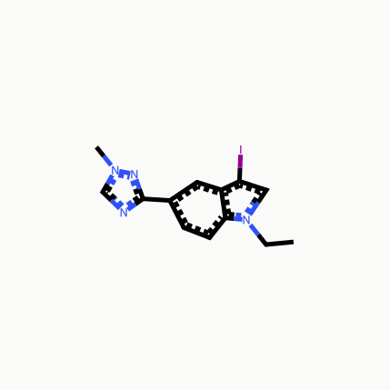 CCn1cc(I)c2cc(-c3ncn(C)n3)ccc21